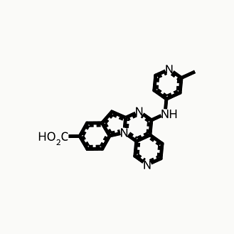 Cc1cc(Nc2nc3cc4cc(C(=O)O)ccc4n3c3cnccc23)ccn1